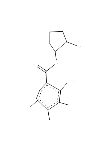 Cc1c(Br)cc(C(=O)NC2CCCC2O)c(O)c1Cl